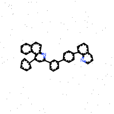 c1ccc(-c2cc(-c3cccc(-c4ccc(-c5cccc6cccnc56)cc4)c3)nc3ccc4ccccc4c23)cc1